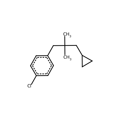 CC(C)(Cc1ccc(Cl)cc1)CC1CC1